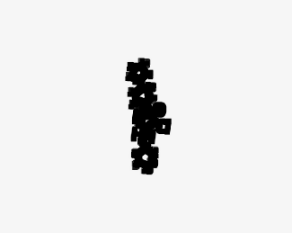 O=c1c(Cl)c(NCC2CCCSC2)cnn1-c1ccc(C2CCCC2)cc1